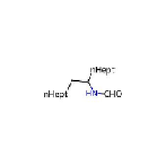 CCCCCCCCC(CCCCCCC)NC=O